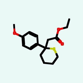 CCOC(=O)CC1(c2ccc(OC)cc2)CCCCS1